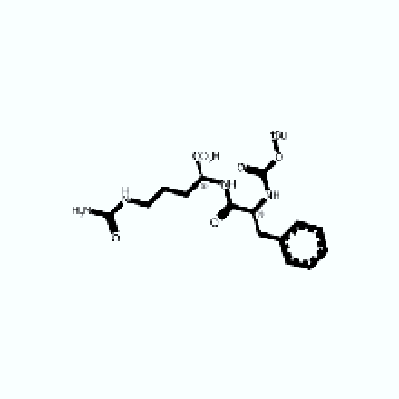 CC(C)(C)OC(=O)N[C@@H](Cc1ccccc1)C(=O)N[C@@H](CCCNC(N)=O)C(=O)O